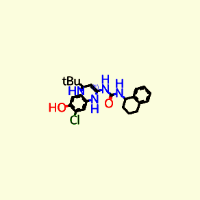 CC(C)(C)C(=N)/C=C(/NC(=O)NC1CCCc2ccccc21)Nc1ccc(O)c(Cl)c1